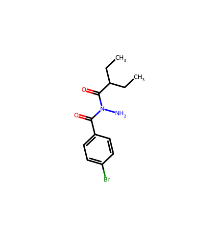 CCC(CC)C(=O)N(N)C(=O)c1ccc(Br)cc1